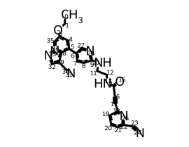 CCOc1cc(-c2ccc(NCCNC(=O)C#Cc3cccc(C#N)n3)nc2)c2c(C#N)cnn2c1